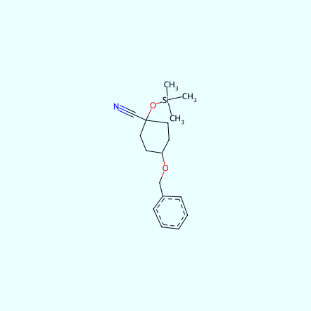 C[Si](C)(C)OC1(C#N)CCC(OCc2ccccc2)CC1